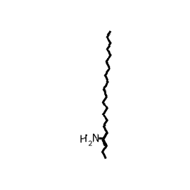 CCC=C(N)CCCCCCCCCCCCCCCCC